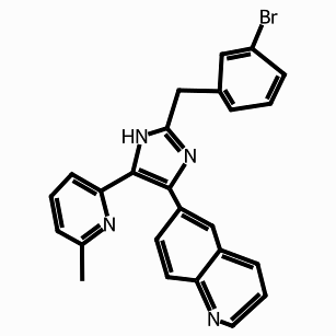 Cc1cccc(-c2[nH]c(Cc3cccc(Br)c3)nc2-c2ccc3ncccc3c2)n1